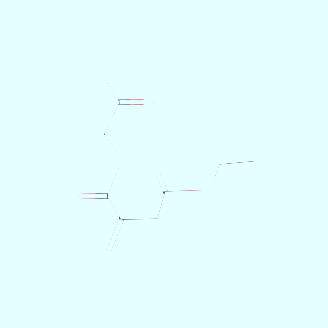 C=C(CC(=O)OCC)C(=O)OCC(C)=O